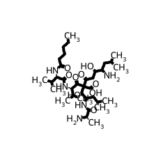 CCCCCC(=O)N[C@H](C(=O)N[C@H](C(=O)C(C(=O)O)(C(=O)CC(O)C(N)CC(C)C)C(O)C(CC(C)C)NC(=O)[C@H](C)N)C(C)C)C(C)C